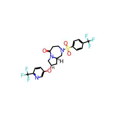 O=C1CCN(S(=O)(=O)c2ccc(C(F)(F)F)cc2)C[C@H]2C[C@@H](Oc3ccc(C(F)(F)F)nc3)CN12